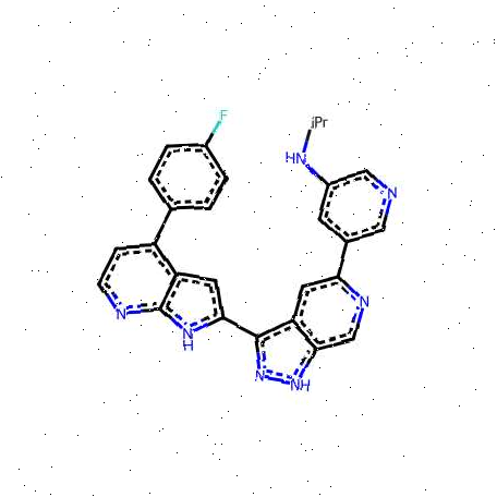 CC(C)Nc1cncc(-c2cc3c(-c4cc5c(-c6ccc(F)cc6)ccnc5[nH]4)n[nH]c3cn2)c1